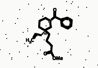 C=CC[C@]1(CCCC(=O)OC)CCCN(C(=O)c2ccccc2)C1